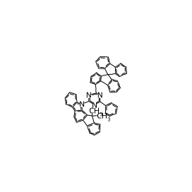 CC1(C)c2ccccc2-c2ccc3c4ccccc4n(-c4nc(-c5ccccc5)nc(-c5cccc6c5-c5ccccc5C65c6ccccc6-c6ccccc65)n4)c3c21